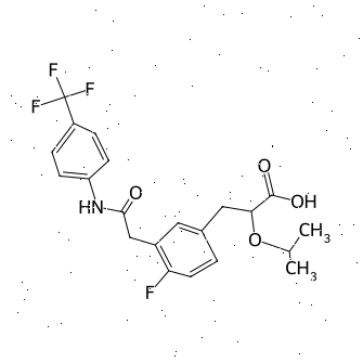 CC(C)OC(Cc1ccc(F)c(CC(=O)Nc2ccc(C(F)(F)F)cc2)c1)C(=O)O